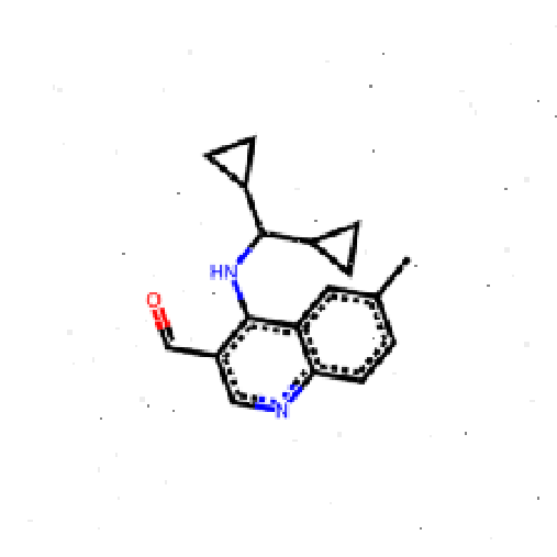 Cc1ccc2ncc(C=O)c(NC(C3CC3)C3CC3)c2c1